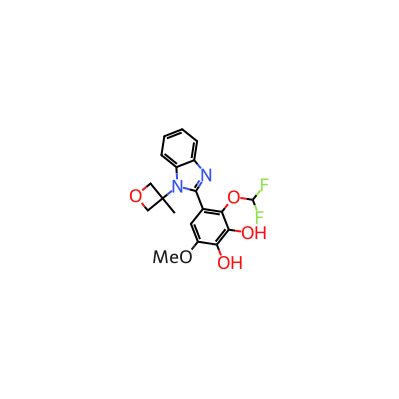 COc1cc(-c2nc3ccccc3n2C2(C)COC2)c(OC(F)F)c(O)c1O